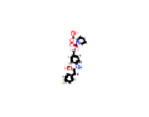 O=C(O)[C@@H]1CCCCN1C(=O)OCc1ccc(NC(O)Cc2ccc(F)cc2)cc1